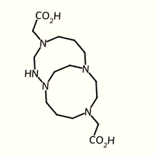 O=C(O)CN1CCCN2CCN(CCCN(CC(=O)O)CN2)CC1